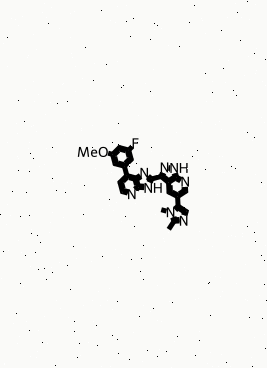 COc1cc(F)cc(-c2ccnc3[nH]c(-c4n[nH]c5ncc(-c6cnc(C)n6C)cc45)nc23)c1